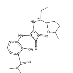 CC[C@@H](Nc1c(Nc2cccc(C(=O)N(C)C)c2O)c(=O)c1=O)C1CCC(C)O1